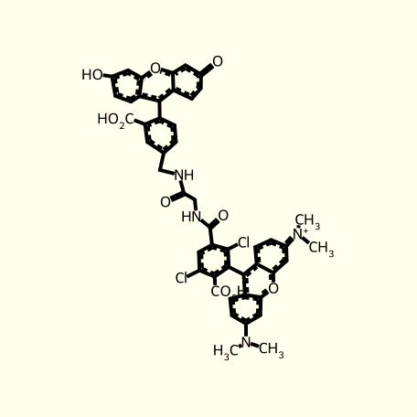 CN(C)c1ccc2c(-c3c(Cl)c(C(=O)NCC(=O)NCc4ccc(-c5c6ccc(=O)cc-6oc6cc(O)ccc56)c(C(=O)O)c4)cc(Cl)c3C(=O)O)c3ccc(=[N+](C)C)cc-3oc2c1